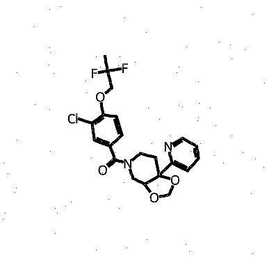 CC(F)(F)COc1ccc(C(=O)N2CCC3(c4ccccn4)OCOC3C2)cc1Cl